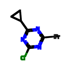 CC(C)c1nc(Cl)nc(C2CC2)n1